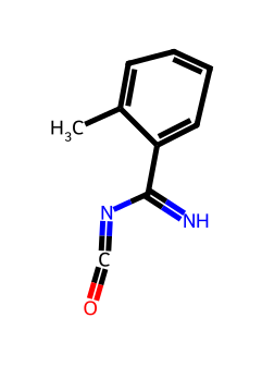 Cc1ccccc1C(=N)N=C=O